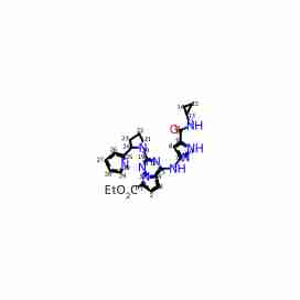 CCOC(=O)c1ccc2c(Nc3cc(C(=O)NC4CC4)[nH]n3)nc(N3CCCC3c3ccccn3)nn12